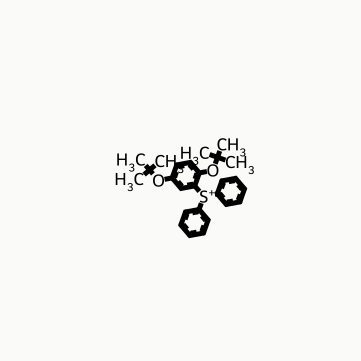 CC(C)(C)Oc1ccc(OC(C)(C)C)c([S+](c2ccccc2)c2ccccc2)c1